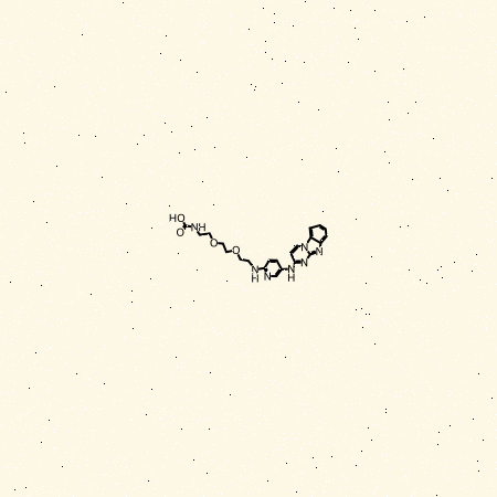 O=C(O)NCCOCCOCCNc1ccc(Nc2ccn3c(n2)nc2ccccc23)cn1